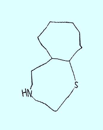 C1CCC2SCCNCC2C1